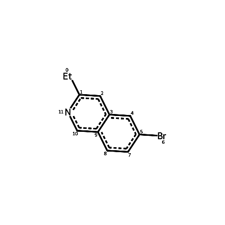 CCc1cc2cc(Br)ccc2cn1